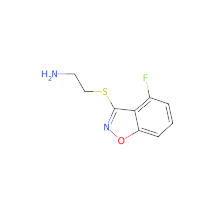 NCCSc1noc2cccc(F)c12